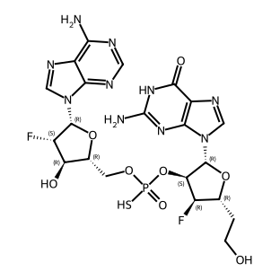 Nc1nc2c(ncn2[C@@H]2O[C@H](CCO)[C@@H](F)[C@H]2OP(=O)(S)OC[C@H]2O[C@@H](n3cnc4c(N)ncnc43)[C@@H](F)[C@@H]2O)c(=O)[nH]1